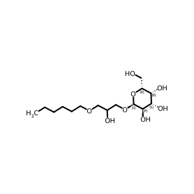 CCCCCCOCC(O)CO[C@H]1O[C@H](CO)[C@H](O)[C@H](O)[C@H]1O